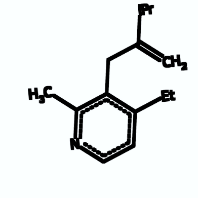 C=C(Cc1c(CC)ccnc1C)C(C)C